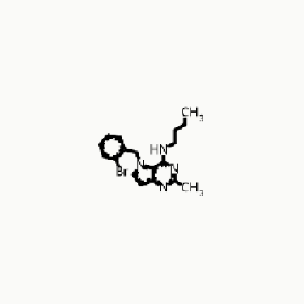 CCCCNc1nc(C)nc2ccn(Cc3ccccc3Br)c12